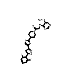 COc1cncnc1OCC(=O)N1CCC(c2nc(C3=NOC(c4c(F)cccc4F)C3)cs2)CC1